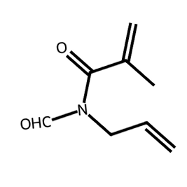 C=CCN(C=O)C(=O)C(=C)C